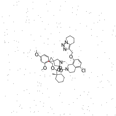 COc1ccc(COC(=O)[C@@]2(C)CCCC[C@H]2C(=O)N2CCc3c(Cl)ccc(OCc4nnn5c4CCCC5)c3[C@H]2CN2CC3(CC3)CC2=O)c(OC)c1